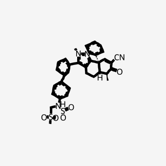 C[C@@H]1C(=O)C(C#N)=C[C@]2(c3ccccc3)c3nn(C)c(-c4cccc(-c5ccc(N(CS(C)(=O)=O)[SH](=O)=O)cc5)c4)c3CC[C@@H]12